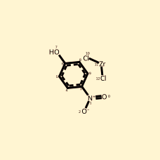 O=[N+]([O-])c1ccc(O)cc1.[Cl][Zr][Cl]